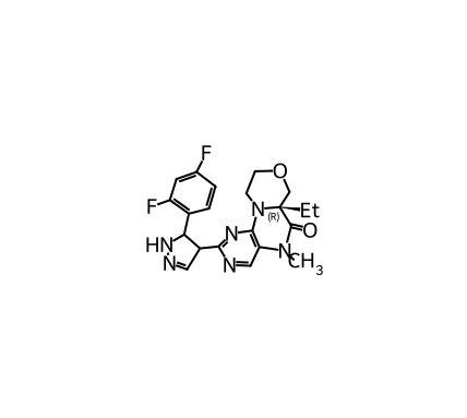 CC[C@]12COCCN1c1nc(C3C=NNC3c3ccc(F)cc3F)ncc1N(C)C2=O